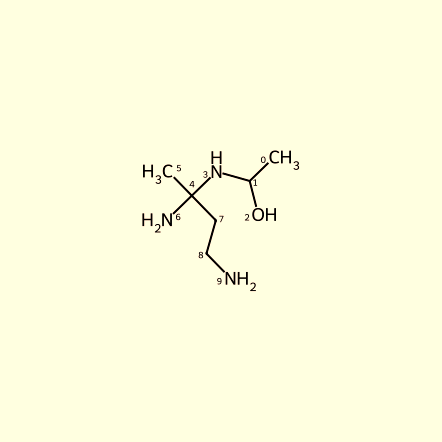 CC(O)NC(C)(N)CCN